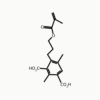 C=C(C)C(=O)OCCCc1c(C)cc(C(=O)O)c(C)c1C(=O)O